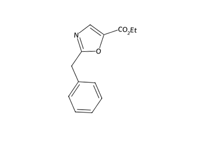 CCOC(=O)c1cnc(Cc2ccccc2)o1